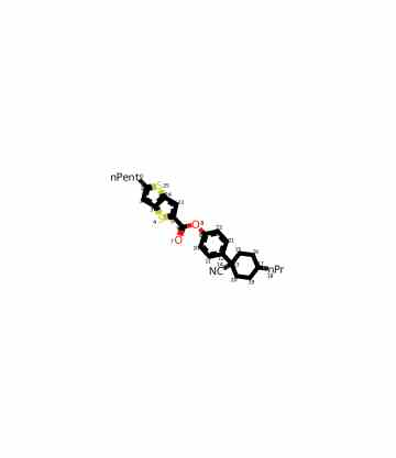 CCCCCc1cc2sc(C(=O)Oc3ccc(C4(C#N)CCC(CCC)CC4)cc3)cc2s1